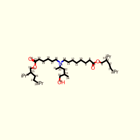 CC(C)CCC(COC(=O)CCCCCCCN(CCCCCC(=O)OCC(CCC(C)C)C(C)C)C(C)CC(C)CO)C(C)C